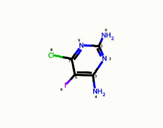 Nc1nc(N)c(I)c(Cl)n1